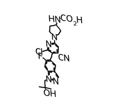 CC(C)(O)Cn1ncc2cc(-c3c(C#N)cc(N4CCC(NC(=O)O)CC4)nc3Cl)c(F)cc21